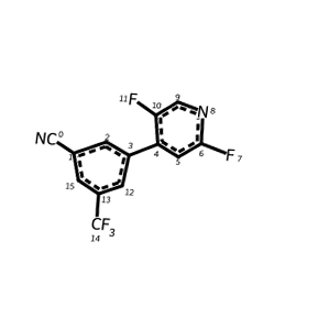 N#Cc1cc(-c2cc(F)ncc2F)cc(C(F)(F)F)c1